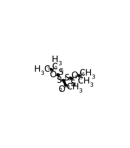 CC(=O)C(SC(=S)OC(C)C)SC(=S)OC(C)C